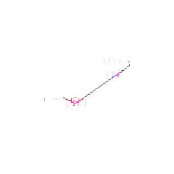 CCCCC/C=C\C/C=C\CCCC/C=C/CC(=O)NCCCCCCCCCCCCCCCCCCCCCCCCCCCCCC(O)NC(CO)C(O)/C=C/CCCCCCCCCCCCCC